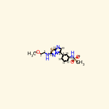 COCCNc1nn2c(-c3cccc(NS(C)(=O)=O)c3)cnc2s1